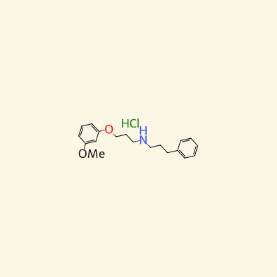 COc1cccc(OCCCNCCCc2ccccc2)c1.Cl